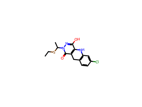 CCSC(C)n1nc(O)c2c(c1=O)Cc1ccc(Cl)cc1N2